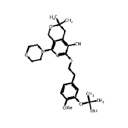 COc1ccc(CCSc2nc(N3CCOCC3)c3c(c2C#N)CC(C)(C)OC3)cc1OC(C)(C)C(C)(C)C